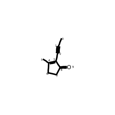 CC#CC1=C(C)[CH]CC1=O